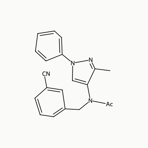 CC(=O)N(Cc1cccc(C#N)c1)c1cn(-c2ccccc2)nc1C